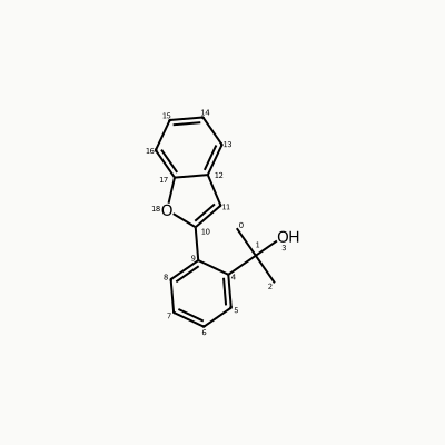 CC(C)(O)c1ccccc1-c1cc2ccccc2o1